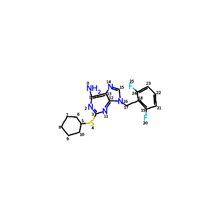 Nc1nc(SC2CCCCC2)nc2c1ncn2Cc1c(F)cccc1F